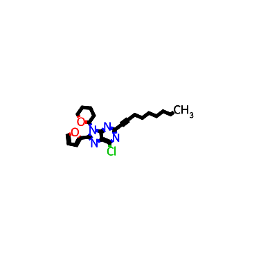 CCCCCCCC#Cc1nc(Cl)c2nc(-c3ccco3)n(C3CCCCO3)c2n1